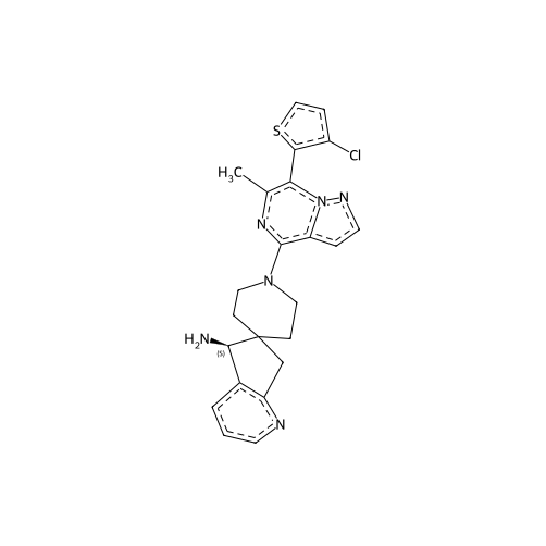 Cc1nc(N2CCC3(CC2)Cc2ncccc2[C@H]3N)c2ccnn2c1-c1sccc1Cl